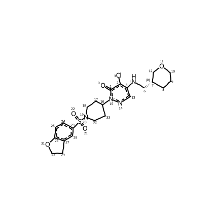 O=c1c(Cl)c(NC[C@H]2CCCOC2)cnn1C1CCN(S(=O)(=O)c2ccc3c(c2)CCO3)CC1